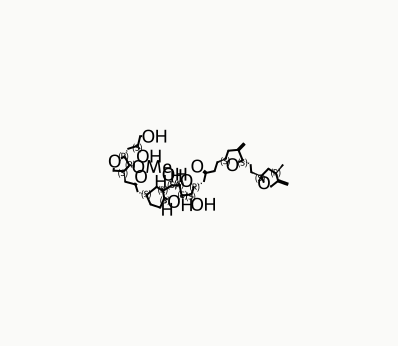 C=C1CO[C@@H](CC[C@@H]2O[C@@H](CCC(=O)C[C@H]3O[C@H]4[C@@H](O)[C@H]5C[C@@H](CC(=O)C[C@H]6CO[C@H](C[C@H](O)CO)[C@@H]6OC)CC[C@@H]5O[C@H]4[C@H]3O)CC2=C)C[C@H]1C